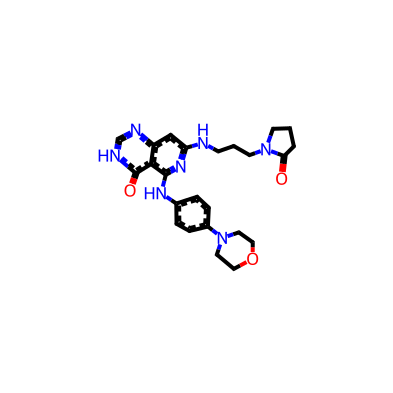 O=C1CCCN1CCCNc1cc2nc[nH]c(=O)c2c(Nc2ccc(N3CCOCC3)cc2)n1